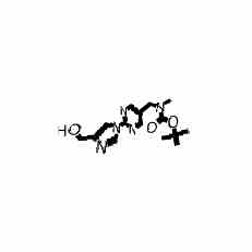 CN(Cc1cnc(-n2cnc(CO)c2)nc1)C(=O)OC(C)(C)C